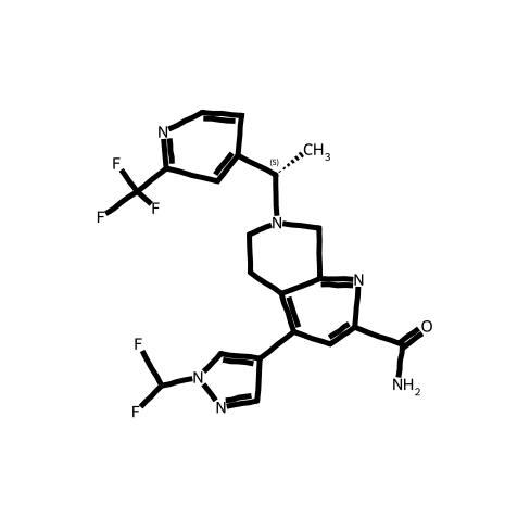 C[C@@H](c1ccnc(C(F)(F)F)c1)N1CCc2c(-c3cnn(C(F)F)c3)cc(C(N)=O)nc2C1